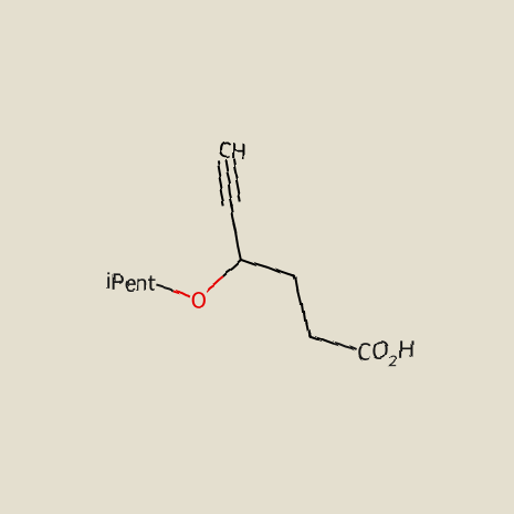 C#CC(CCC(=O)O)OC(C)CC[CH2]